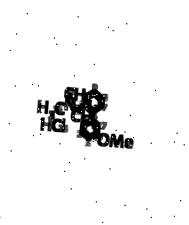 COc1cccc(-c2ccccc2C(C)N(C)C)c1.Cl